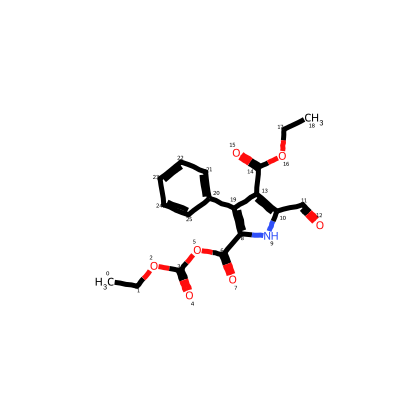 CCOC(=O)OC(=O)c1[nH]c(C=O)c(C(=O)OCC)c1-c1ccccc1